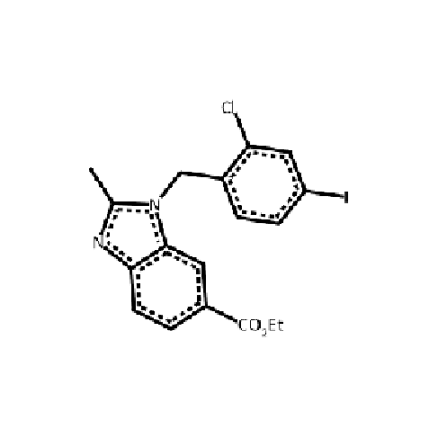 CCOC(=O)c1ccc2nc(C)n(Cc3ccc(I)cc3Cl)c2c1